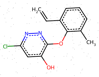 C=Cc1cccc(C)c1Oc1nnc(Cl)cc1O